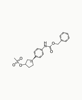 CS(=O)(=O)OC1CC[C@H](c2ccc(NC(=O)OCc3ccccc3)cc2)C1